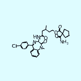 CC(CCOC(=O)C1(C(N)=O)CCCC1)CC(=O)NC1N=C(c2ccc(Cl)cc2)c2ccccc2N(C)C1=O